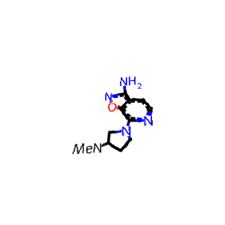 CNC1CCN(c2nccc3c(N)noc23)C1